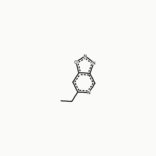 CCc1cc2onnc2cn1